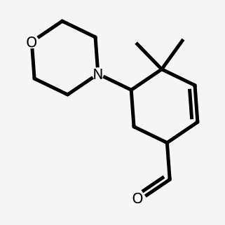 CC1(C)C=CC(C=O)CC1N1CCOCC1